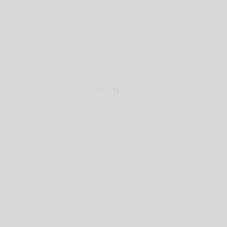 C/C(=N\OCCCc1cc(C)nc(-c2cccc(C)n2)n1)c1ncccn1